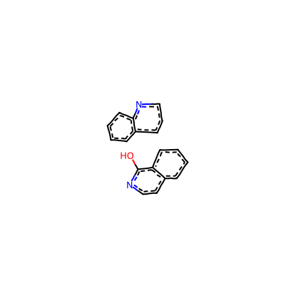 Oc1nccc2ccccc12.c1ccc2ncccc2c1